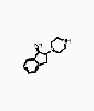 N=C1c2ccccc2CC1N1CCNCC1